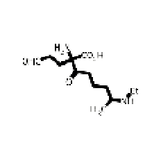 CCNC(C)CCCC(=O)C(N)(CCC=O)C(=O)O